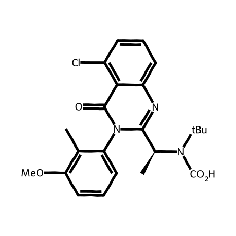 COc1cccc(-n2c([C@H](C)N(C(=O)O)C(C)(C)C)nc3cccc(Cl)c3c2=O)c1C